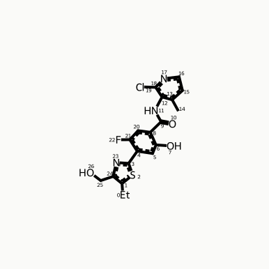 CCc1sc(-c2cc(O)c(C(=O)Nc3c(C)ccnc3Cl)cc2F)nc1CO